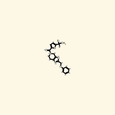 CC(F)(F)c1ccc(C(=O)N2CCc3nc(COc4ccccc4)oc3C2)o1